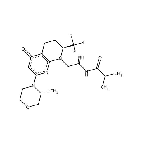 CC(C)C(=O)NC(=N)CN1c2nc(N3CCOC[C@H]3C)cc(=O)n2CC[C@H]1C(F)(F)F